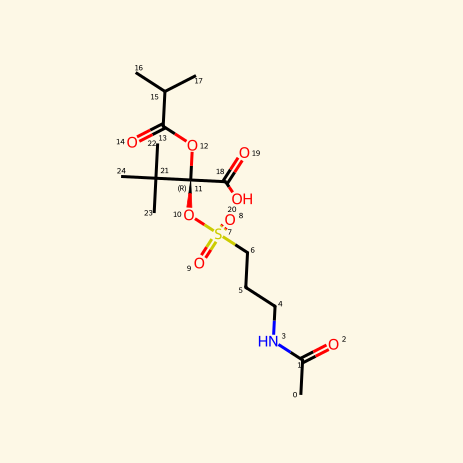 CC(=O)NCCCS(=O)(=O)O[C@@](OC(=O)C(C)C)(C(=O)O)C(C)(C)C